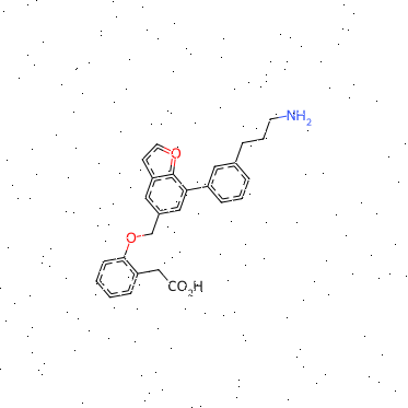 NCCCc1cccc(-c2cc(COc3ccccc3CC(=O)O)cc3ccoc23)c1